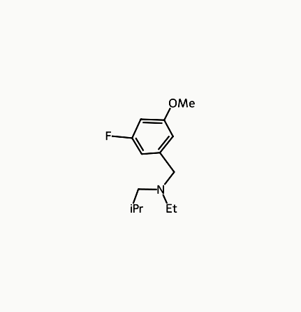 CCN(Cc1cc(F)cc(OC)c1)CC(C)C